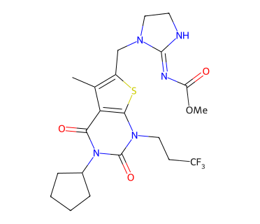 COC(=O)N=C1NCCN1Cc1sc2c(c1C)c(=O)n(C1CCCC1)c(=O)n2CCC(F)(F)F